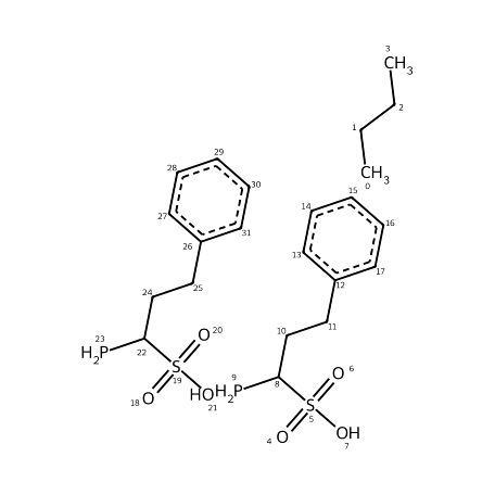 CCCC.O=S(=O)(O)C(P)CCc1ccccc1.O=S(=O)(O)C(P)CCc1ccccc1